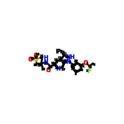 CC(F)Oc1cccc(N2NC(C(C)C)c3cc(C(=O)NC4(C)CS(=O)(=O)C4)ncc32)c1